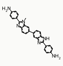 Cn1c(-c2ccc(N)cc2)nc2ccc(-c3ccc4[nH]c(-c5ccc(N)cc5)nc4c3)cc21